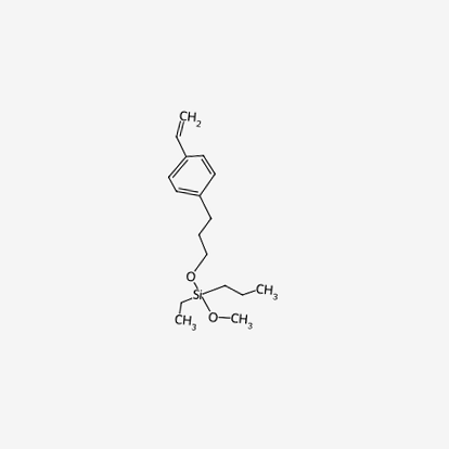 C=Cc1ccc(CCCO[Si](CC)(CCC)OC)cc1